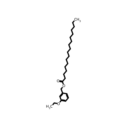 CCCCCCCCCCCCCCCCCC(=O)OCc1cccc(OCC)c1